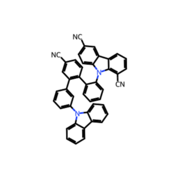 N#Cc1ccc(-c2ccccc2-n2c3ccc(C#N)cc3c3cccc(C#N)c32)c(-c2cccc(-n3c4ccccc4c4ccccc43)c2)c1